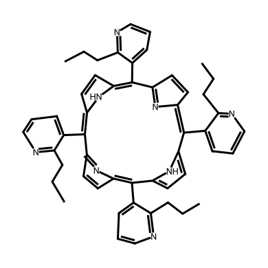 CCCc1ncccc1-c1c2nc(c(-c3cccnc3CCC)c3ccc([nH]3)c(-c3cccnc3CCC)c3nc(c(-c4cccnc4CCC)c4ccc1[nH]4)C=C3)C=C2